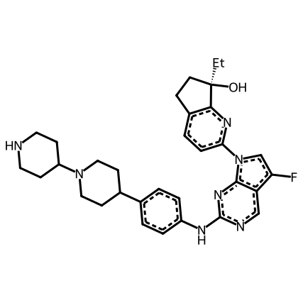 CC[C@@]1(O)CCc2ccc(-n3cc(F)c4cnc(Nc5ccc(C6CCN(C7CCNCC7)CC6)cc5)nc43)nc21